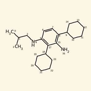 CC(C)CNc1ccc(C2CCCCC2)c(N)c1C1CCCCC1